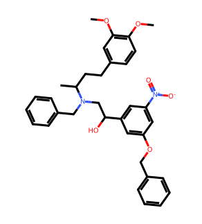 COc1ccc(CCC(C)N(Cc2ccccc2)CC(O)c2cc(OCc3ccccc3)cc([N+](=O)[O-])c2)cc1OC